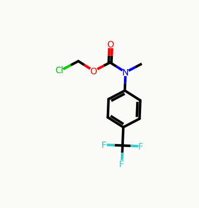 CN(C(=O)OCCl)c1ccc(C(F)(F)F)cc1